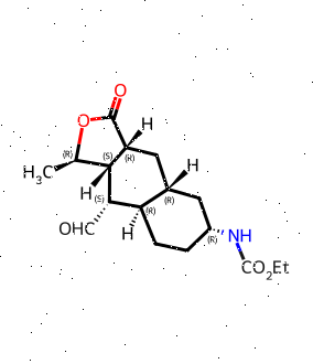 CCOC(=O)N[C@@H]1CC[C@@H]2[C@@H](C1)C[C@H]1C(=O)O[C@H](C)[C@H]1[C@H]2C=O